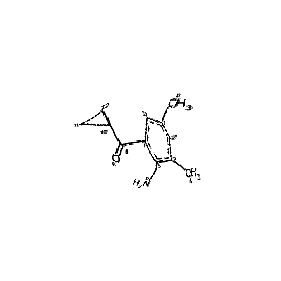 Cc1cc(C)c(N)c(C(=O)C2CC2)c1